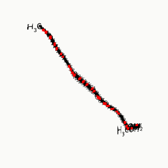 CCCCCCCCCCCCCCCCCCCCCCCCCCCCCCCCCCCCCCCCCCCCCCCCCCCCCCCCCCCCCCCCCCCCCCCCCCCCCCCCCCCCCCCCCCCCCCC(C)C[C@H](O)[C@H](O)[C@@H](N)CC1CCCCC1